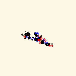 CC(C)c1ccccc1[C@H]1COCCN1C1CC(N2CCN(c3ccc(C(=O)NS(=O)(=O)c4ccc(NCC5CCC(C)(O)CC5)c([N+](=O)[O-])c4)c(N4c5cc6cc[nH]c6nc5O[C@H]5COCC[C@@H]54)c3)CC2)C1